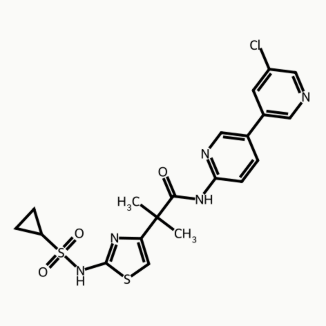 CC(C)(C(=O)Nc1ccc(-c2cncc(Cl)c2)cn1)c1csc(NS(=O)(=O)C2CC2)n1